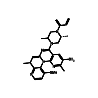 Bc1cc2c(nc1C)N1C(=CC(C)c3nccc(SC)c31)N=C2N1C[C@@H](C)N(C(=C)C=C)CC1C